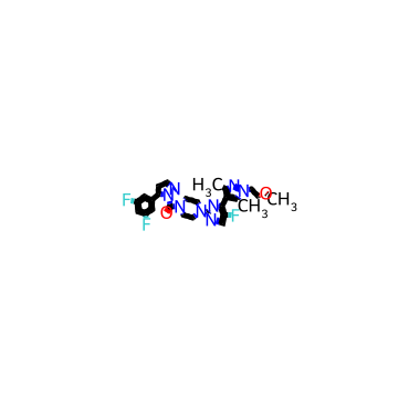 COCCn1nc(C)c(-c2nc(N3CCN(C(=O)N4N=CCC4c4cc(F)cc(F)c4)CC3)ncc2F)c1C